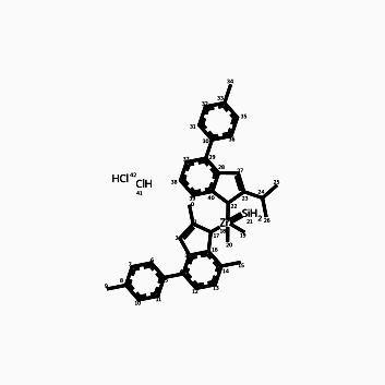 CC1=Cc2c(-c3ccc(C)cc3)ccc(C)c2[CH]1[Zr]([CH3])([CH3])(=[SiH2])[CH]1C(C(C)C)=Cc2c(-c3ccc(C)cc3)cccc21.Cl.Cl